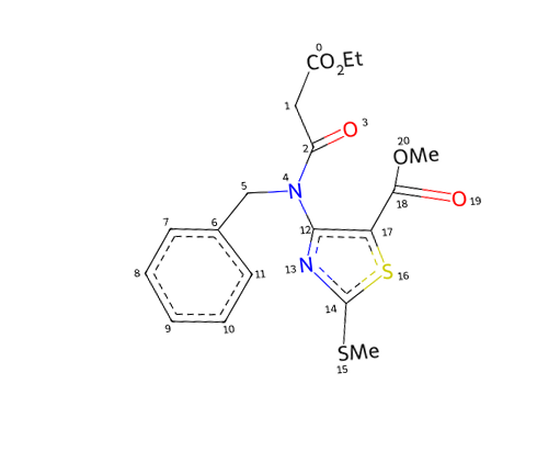 CCOC(=O)CC(=O)N(Cc1ccccc1)c1nc(SC)sc1C(=O)OC